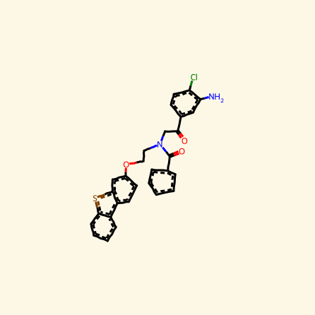 Nc1cc(C(=O)CN(CCOc2ccc3c(c2)sc2ccccc23)C(=O)c2ccccc2)ccc1Cl